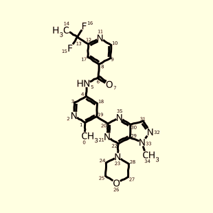 Cc1ncc(NC(=O)c2ccnc(C(C)(F)F)c2)cc1-c1nc(N2CCOCC2)c2c(cnn2C)n1